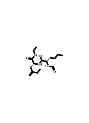 C=C(CC)C[C@@H](NC(O)[C@H](CCCC)NC=O)C(=O)NCC